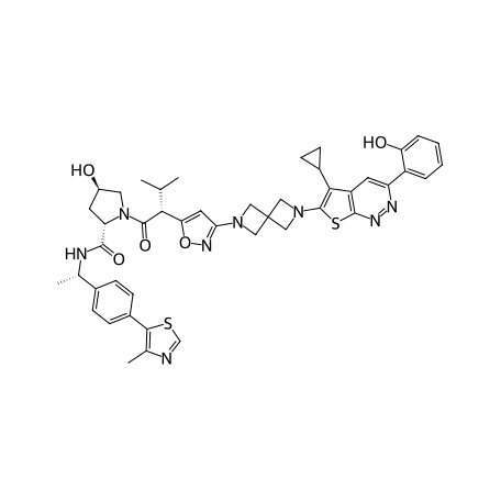 Cc1ncsc1-c1ccc([C@H](C)NC(=O)[C@@H]2C[C@@H](O)CN2C(=O)[C@@H](c2cc(N3CC4(C3)CN(c3sc5nnc(-c6ccccc6O)cc5c3C3CC3)C4)no2)C(C)C)cc1